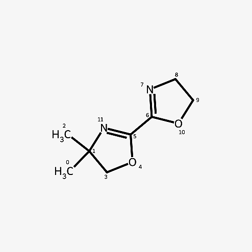 CC1(C)COC(C2=NCCO2)=N1